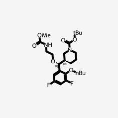 CCCCOc1c(F)cc(F)cc1[C@H](OCCNC(=O)OC)[C@@H]1CCCN(C(=O)OC(C)(C)C)C1